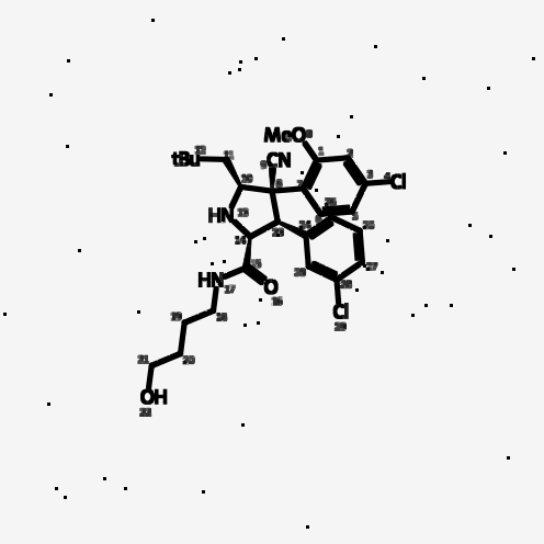 COc1cc(Cl)ccc1[C@@]1(C#N)[C@H](CC(C)(C)C)N[C@H](C(=O)NCCCCO)[C@@H]1c1cccc(Cl)c1